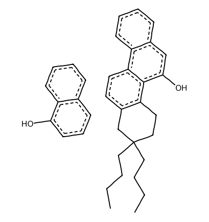 CCCCC1(CCCC)CCc2c(ccc3c2c(O)cc2ccccc23)C1.Oc1cccc2ccccc12